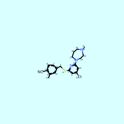 CCc1cc(SCc2ccc(C#N)c(C)c2)nc(N2CCCN(C)CC2)c1